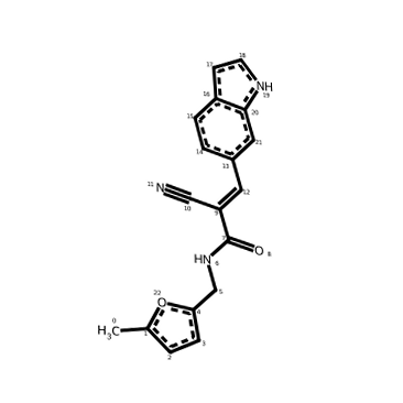 Cc1ccc(CNC(=O)/C(C#N)=C/c2ccc3cc[nH]c3c2)o1